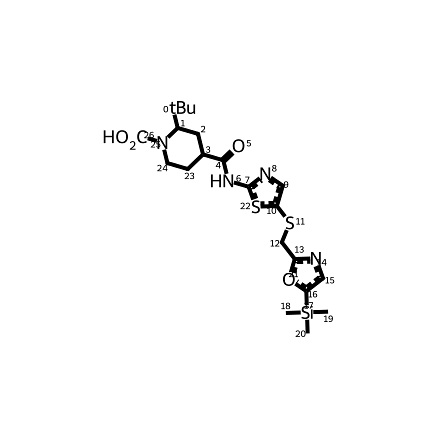 CC(C)(C)C1CC(C(=O)Nc2ncc(SCc3ncc([Si](C)(C)C)o3)s2)CCN1C(=O)O